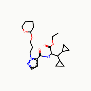 CCOC(=O)C(NC(=O)c1ccnn1CCCOC1CCCCO1)C(C1CC1)C1CC1